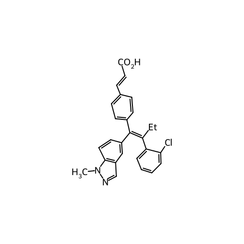 CCC(=C(c1ccc(C=CC(=O)O)cc1)c1ccc2c(cnn2C)c1)c1ccccc1Cl